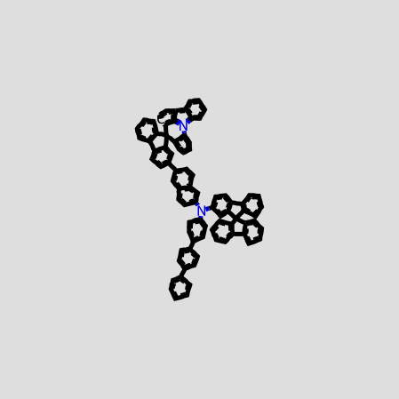 c1ccc(-c2ccc(-c3ccc(N(c4ccc5c(c4)C4(c6ccccc6-c6ccccc64)c4ccccc4-5)c4ccc5cc(-c6ccc7c(c6)C6(c8ccccc8-7)c7ccccc7-n7c8ccccc8c8cccc6c87)ccc5c4)cc3)cc2)cc1